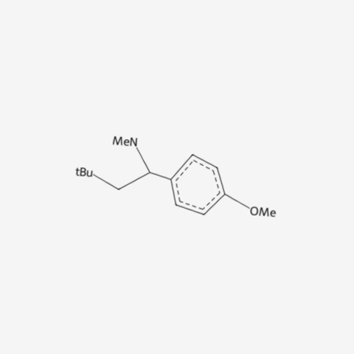 CNC(CC(C)(C)C)c1ccc(OC)cc1